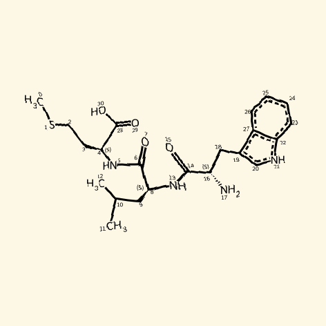 CSCC[C@H](NC(=O)[C@H](CC(C)C)NC(=O)[C@@H](N)Cc1c[nH]c2ccccc12)C(=O)O